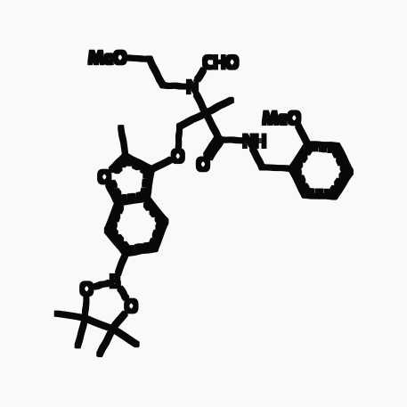 COCCN(C=O)C(C)(COc1c(C)oc2cc(B3OC(C)(C)C(C)(C)O3)ccc12)C(=O)NCc1ccccc1OC